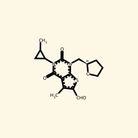 Cc1c(C=O)sc2c1c(=O)n(C1CC1C)c(=O)n2C[C@H]1CCCO1